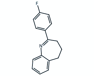 Fc1ccc(C2=Nc3ccccc3CCC2)cc1